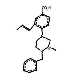 CC=Cc1cc(C(=O)O)ccc1N1CCN(Cc2ccccc2)[C@H](C)C1